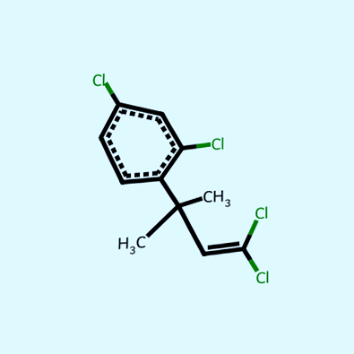 CC(C)(C=C(Cl)Cl)c1ccc(Cl)cc1Cl